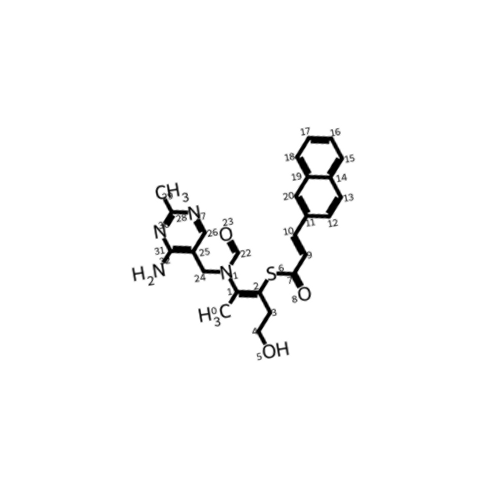 C/C(=C(\CCO)SC(=O)/C=C/c1ccc2ccccc2c1)N(C=O)Cc1cnc(C)nc1N